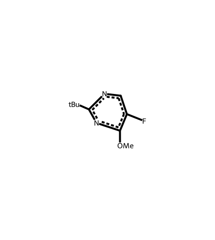 COc1nc(C(C)(C)C)ncc1F